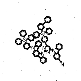 N#Cc1ccc2c(c1)c1ccccc1n2-c1cc(-c2ccc([Si](c3ccccc3)(c3ccccc3)c3cccc(-c4ccccc4)c3)cc2)nc(-n2c3ccccc3c3ccc4c(c5ccccc5n4-c4cccc([Si](c5ccccc5)(c5ccccc5)c5ccccc5)c4)c32)n1